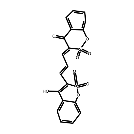 O=C1/C(=C/C=CC2=C(O)c3ccccc3OS2(=O)=O)S(=O)(=O)Oc2ccccc21